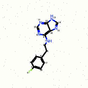 Fc1ccc(CCNc2ncnc3[nH]cnc23)cc1